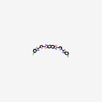 Fc1ccc2sc(-c3ccc(-c4nc5cc6cc7oc(-c8ccc(-c9nc%10cc(F)ccc%10s9)s8)nc7cc6cc5o4)s3)nc2c1